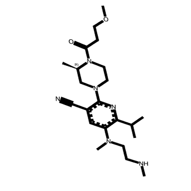 CNCCN(C)c1cc(C#N)c(N2CCN(C(=O)CCOC)[C@H](C)C2)nc1C(C)C